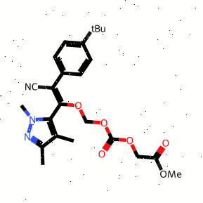 COC(=O)COC(=O)OCO/C(=C(/C#N)c1ccc(C(C)(C)C)cc1)c1c(C)c(C)nn1C